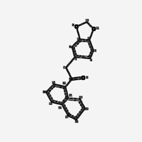 O=C(Cc1ccc2c(c1)OCO2)c1cccc2ccccc12